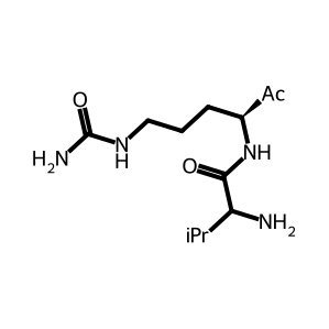 CC(=O)[C@H](CCCNC(N)=O)NC(=O)C(N)C(C)C